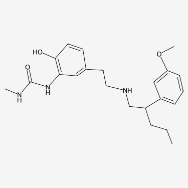 CCCC(CNCCc1ccc(O)c(NC(=O)NC)c1)c1cccc(OC)c1